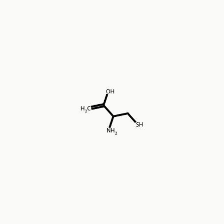 C=C(O)C(N)CS